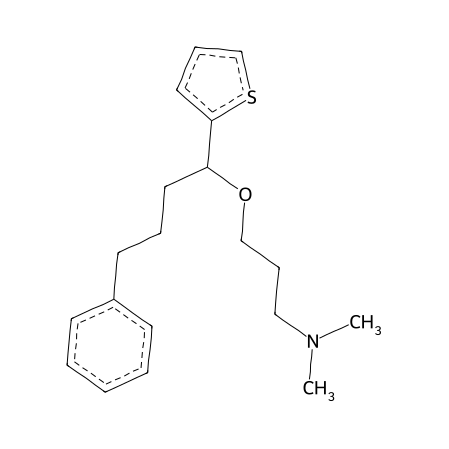 CN(C)CCCOC(CCCc1ccccc1)c1cccs1